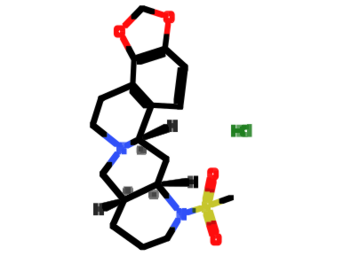 CS(=O)(=O)N1CCC[C@@H]2CN3CCc4c(ccc5c4OCO5)[C@@H]3C[C@@H]21.Cl